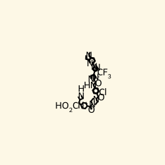 Cn1c(-c2cn(-c3ccc4c(ccn4C)n3)nc2C(F)(F)F)cnc1C(=O)Nc1ccc(C(=O)N2CCN(C(=O)C3CC[N+](CC(=O)O)(CC4CNC4)CC3)CC2)c(Cl)c1